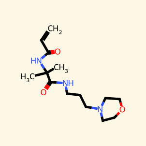 C=CC(=O)NC(C)(C)C(=O)NCCCN1CCOCC1